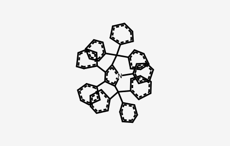 c1ccc(-c2c(-c3ccccc3)c(C(c3ccccc3)(c3ccccc3)c3ccccc3)n(-c3ccccc3)c2C(c2ccccc2)(c2ccccc2)c2ccccc2)cc1